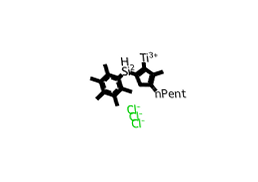 CCCCCC1=C(C)[C]([Ti+3])=C([SiH2]c2c(C)c(C)c(C)c(C)c2C)C1.[Cl-].[Cl-].[Cl-]